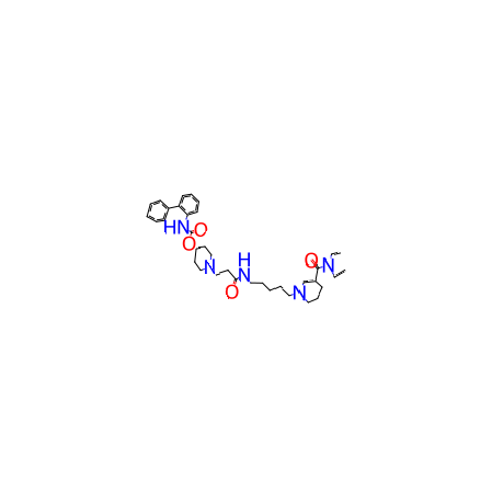 CCN(CC)C(=O)C1CCCN(CCCCCNC(=O)CCN2CCC(OC(=O)Nc3ccccc3-c3ccccc3)CC2)C1